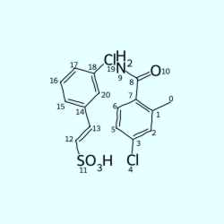 Cc1cc(Cl)ccc1C(N)=O.O=S(=O)(O)/C=C/c1cccc(Cl)c1